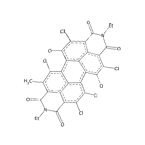 CCN1C(=O)c2c(C)c(Cl)c3c4c(Cl)c(Cl)c5c6c(c(Cl)c(Cl)c(c7c(Cl)c(Cl)c(c2c37)C1=O)c64)C(=O)N(CC)C5=O